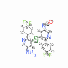 Nc1cnc(C2CCC(F)(F)CC2)c(Cl)c1.O=C=Nc1cnc(C2CCC(F)(F)CC2)c(Cl)c1